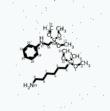 CO[Si](C)(CCCCCCN)OC.CO[Si](CNc1ccccc1)(OC)OC